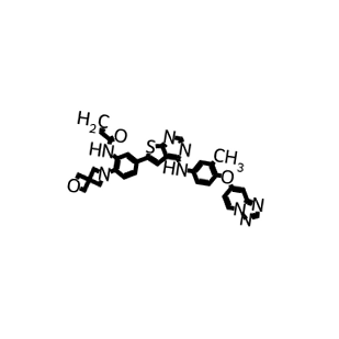 C=CC(=O)Nc1cc(-c2cc3c(Nc4ccc(Oc5ccn6ncnc6c5)c(C)c4)ncnc3s2)ccc1N1CC2(COC2)C1